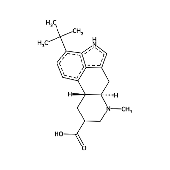 CN1CC(C(=O)O)C[C@@H]2c3ccc(C(C)(C)C)c4[nH]cc(c34)C[C@H]21